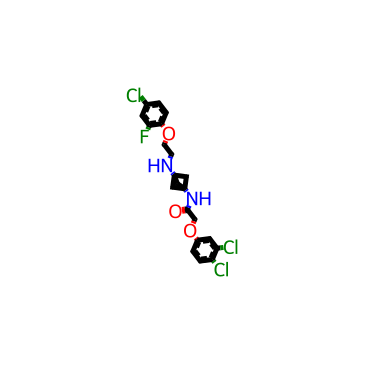 O=C(COc1ccc(Cl)c(Cl)c1)NC12CC(NCCOc3ccc(Cl)cc3F)(C1)C2